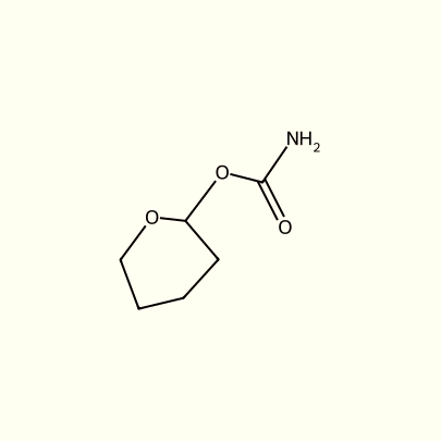 NC(=O)OC1CCCCO1